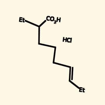 CCC=CCCCC(CC)C(=O)O.Cl